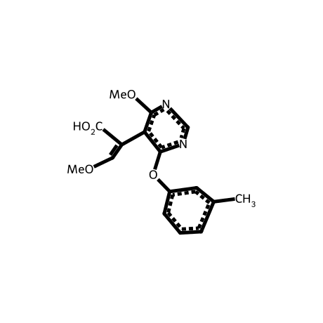 COC=C(C(=O)O)c1c(OC)ncnc1Oc1cccc(C)c1